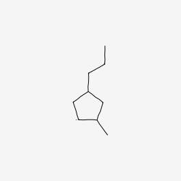 CCCC1C[CH]C(C)C1